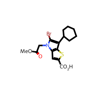 COC(=O)Cn1c(Br)c(C2CCCCC2)c2sc(C(=O)O)cc21